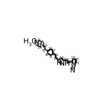 CN1CCN(CCc2ccc(/C=C/c3cc(/C=C/c4cccn4C#N)[nH]n3)cc2)CC1